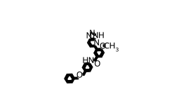 COc1ccc(C(=O)Nc2ccc(COCc3ccccc3)cc2)cc1-c1ccc2nn[nH]c2n1